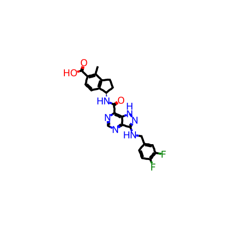 Cc1c(C(=O)O)ccc2c1CC[C@@H]2NC(=O)c1ncnc2c(NCc3ccc(F)c(F)c3)n[nH]c12